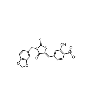 O=C1C(=Cc2ccc([N+](=O)[O-])c(O)c2)SC(=S)N1Cc1ccc2c(c1)OCO2